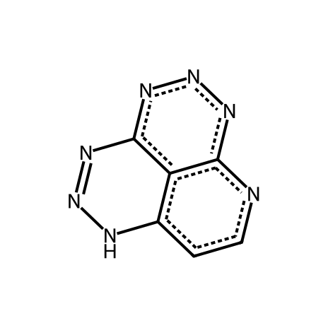 c1cc2c3c(nnnc3n1)N=NN2